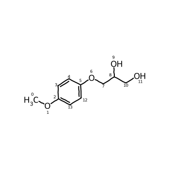 COc1ccc(OCC(O)CO)cc1